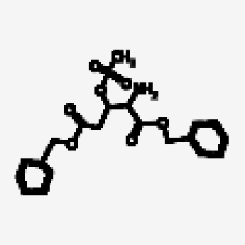 CS(=O)(=O)OC(CC(=O)OCc1ccccc1)C(N)C(=O)OCc1ccccc1